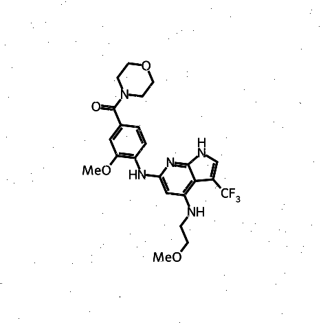 COCCNc1cc(Nc2ccc(C(=O)N3CCOCC3)cc2OC)nc2[nH]cc(C(F)(F)F)c12